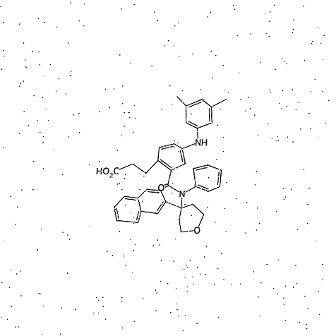 Cc1cc(C)cc(Nc2ccc(CCC(=O)O)c(C(=O)N(c3ccccc3)C3(c4ccc5ccccc5c4)CCOCC3)c2)c1